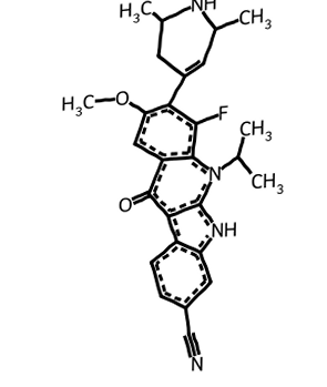 COc1cc2c(=O)c3c4ccc(C#N)cc4[nH]c3n(C(C)C)c2c(F)c1C1=CC(C)NC(C)C1